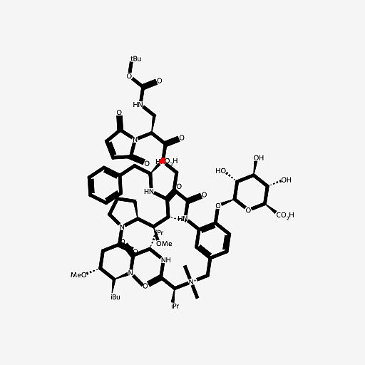 CC[C@H](C)[C@@H]([C@@H](CC(=O)N1CCC[C@H]1[C@H](OC)[C@@H](C)C(=O)N[C@@H](Cc1ccccc1)C(=O)O)OC)N(C)C(=O)[C@@H](NC(=O)[C@H](C(C)C)[N+](C)(C)Cc1ccc(O[C@@H]2O[C@H](C(=O)O)[C@@H](O)[C@H](O)[C@H]2O)c(NC(=O)CCNC(=O)[C@H](CNC(=O)OC(C)(C)C)N2C(=O)C=CC2=O)c1)C(C)C